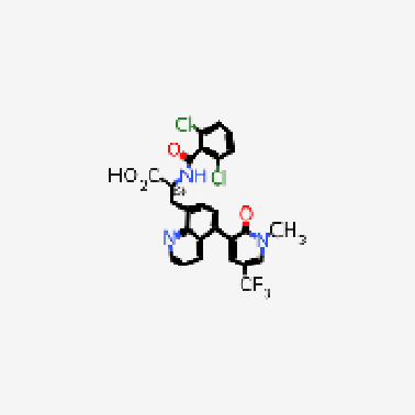 Cn1cc(C(F)(F)F)cc(-c2ccc(C[C@H](NC(=O)c3c(Cl)cccc3Cl)C(=O)O)c3ncccc23)c1=O